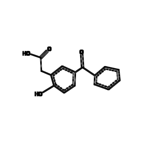 O=C(O)Cc1cc(C(=O)c2ccccc2)ccc1O